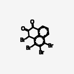 O=C1C(=O)C(Br)c2c(Br)c(Br)c(Br)c3cccc1c23